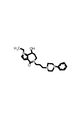 CCn1ccc2c1C(O)CCN(CCCN1CCN(c3ccccc3)CC1)C2=O